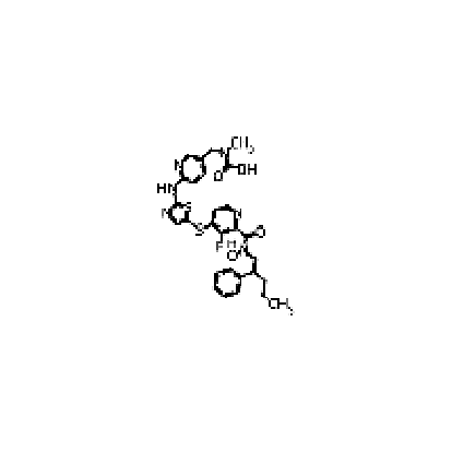 CCCC(CN(O)C(=O)c1nccc(Sc2cnc(Nc3ccc(CN(C)C(=O)O)cn3)s2)c1F)c1ccccc1